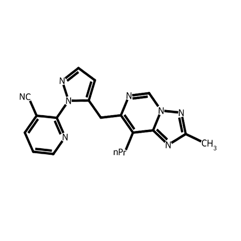 CCCc1c(Cc2ccnn2-c2ncccc2C#N)ncn2nc(C)nc12